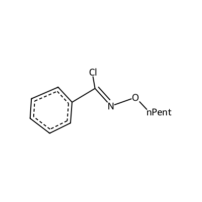 CCCCCON=C(Cl)c1ccccc1